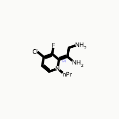 CCCN1C=CC(Cl)=C(F)/C1=C(/N)CN